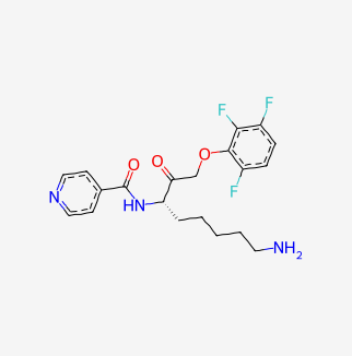 NCCCCC[C@H](NC(=O)c1ccncc1)C(=O)COc1c(F)ccc(F)c1F